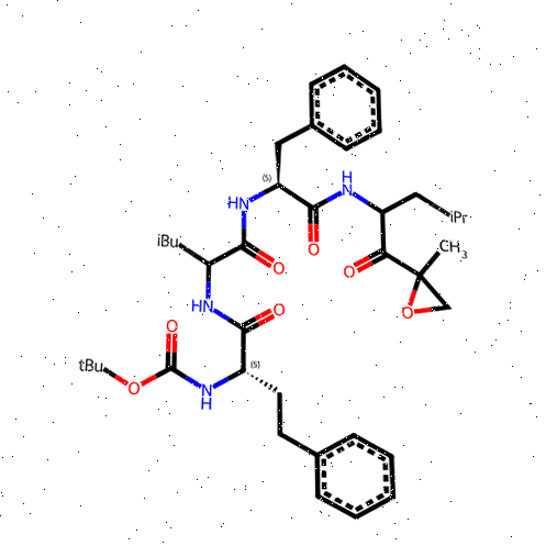 CCC(C)C(NC(=O)[C@H](CCc1ccccc1)NC(=O)OC(C)(C)C)C(=O)N[C@@H](Cc1ccccc1)C(=O)NC(CC(C)C)C(=O)C1(C)CO1